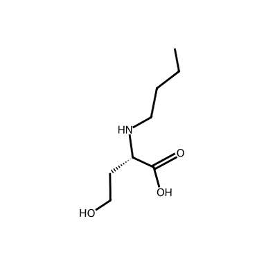 CCCCN[C@@H](CCO)C(=O)O